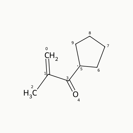 C=C(C)C(=O)[C]1CCCC1